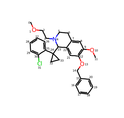 COCCN1CCc2cc(OC)c(OCc3ccccc3)cc2C1C1(c2ccccc2Cl)CC1